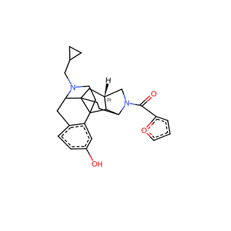 O=C(c1ccco1)N1C[C@H]2CC34CCC1C2C31CCN(CC2CC2)C4Cc2ccc(O)cc21